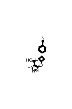 N#Cc1ccc([C@H]2C[C@H](Oc3nn[nH]c3C(=O)O)C2)cc1